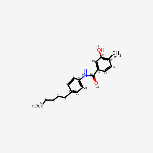 CCCCCCCCCCCCCCc1ccc(NC(=O)c2ccc(C)c(O)c2)cc1